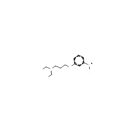 CCN(CC)CCCOc1cccc([N+](=O)[O-])c1